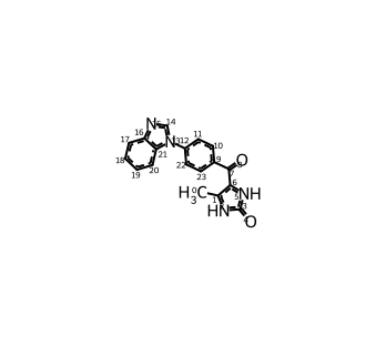 Cc1[nH]c(=O)[nH]c1C(=O)c1ccc(-n2cnc3ccccc32)cc1